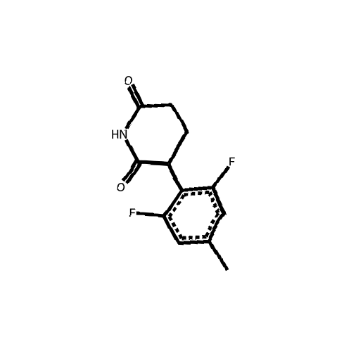 Cc1cc(F)c(C2CCC(=O)NC2=O)c(F)c1